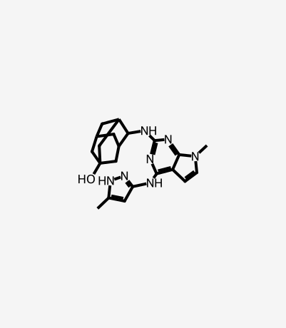 Cc1cc(Nc2nc(NC3C4CC5CC3CC(O)(C5)C4)nc3c2ccn3C)n[nH]1